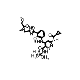 BC(B)(B)NC(=O)c1nnc(NC(=O)C2CC2)cc1Nc1cccc(-c2nc(CN(C)C(=O)COC)no2)c1OC